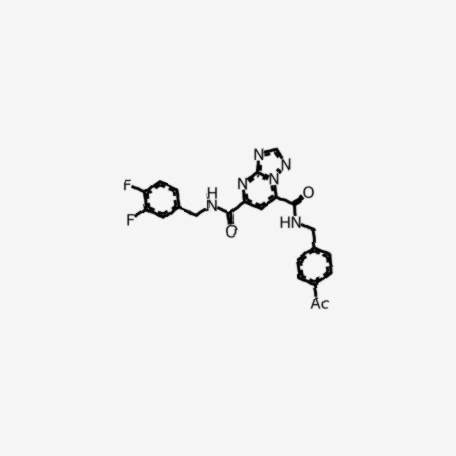 CC(=O)c1ccc(CNC(=O)c2cc(C(=O)NCc3ccc(F)c(F)c3)nc3ncnn23)cc1